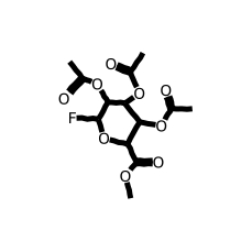 COC(=O)C1OC(F)C(OC(C)=O)C(OC(C)=O)C1OC(C)=O